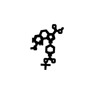 COC(=O)c1cn(C2CCN(C(=O)OC(C)(C)C)CC2)c2c1CCc1cnc(SC)nc1-2